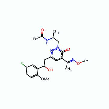 COC1=CCC(F)C=C1C(O)Cc1cc(/C(C)=N/OC(C)C)c(=O)n(C[C@H](C)NC(=O)C(C)C)n1